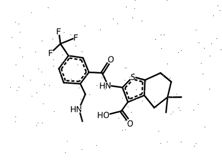 CNCc1ccc(C(F)(F)F)cc1C(=O)Nc1sc2c(c1C(=O)O)CC(C)(C)CC2